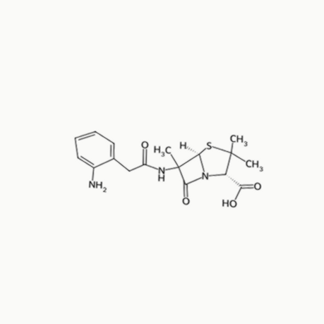 CC1(C)S[C@H]2N(C(=O)C2(C)NC(=O)Cc2ccccc2N)[C@H]1C(=O)O